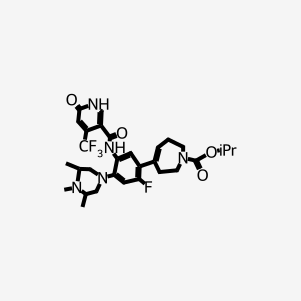 CC(C)OC(=O)N1CCC=C(c2cc(NC(=O)c3c[nH]c(=O)cc3C(F)(F)F)c(N3CC(C)N(C)C(C)C3)cc2F)CC1